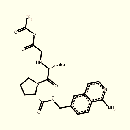 CCCC[C@@H](NCC(=O)OC(=O)C(F)(F)F)C(=O)N1CCC[C@H]1C(=O)NCc1ccc2c(N)nccc2c1